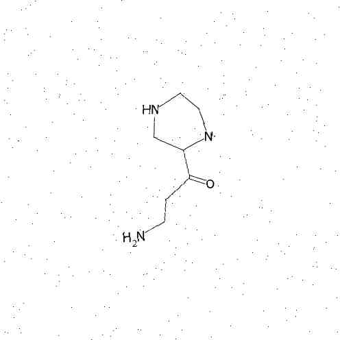 NCCC(=O)C1CNCC[N]1